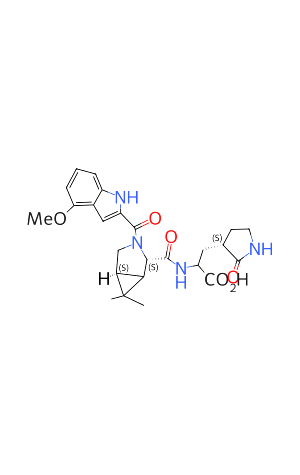 COc1cccc2[nH]c(C(=O)N3C[C@H]4C([C@H]3C(=O)NC(C[C@@H]3CCNC3=O)C(=O)O)C4(C)C)cc12